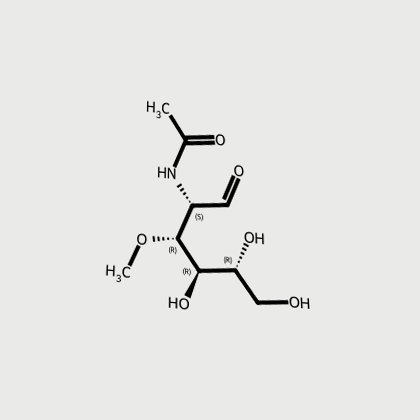 CO[C@@H]([C@H](O)[C@H](O)CO)[C@@H](C=O)NC(C)=O